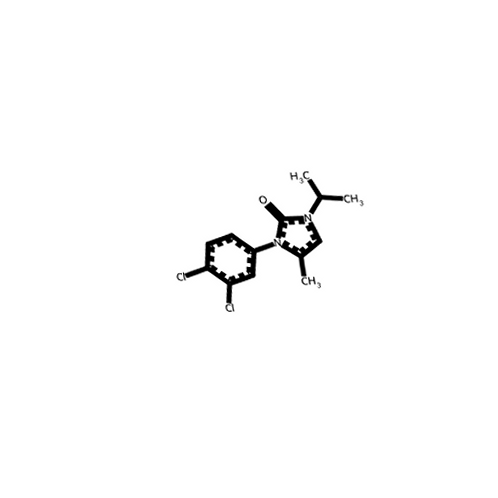 Cc1cn(C(C)C)c(=O)n1-c1ccc(Cl)c(Cl)c1